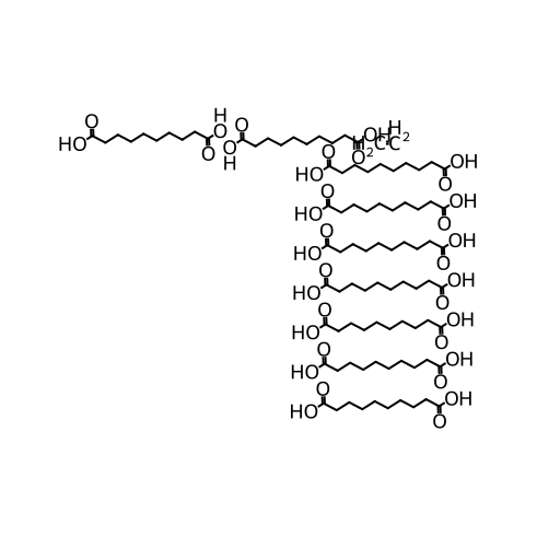 C=C.O=C(O)CCCCCCCCC(=O)O.O=C(O)CCCCCCCCC(=O)O.O=C(O)CCCCCCCCC(=O)O.O=C(O)CCCCCCCCC(=O)O.O=C(O)CCCCCCCCC(=O)O.O=C(O)CCCCCCCCC(=O)O.O=C(O)CCCCCCCCC(=O)O.O=C(O)CCCCCCCCC(=O)O.O=C(O)CCCCCCCCC(=O)O